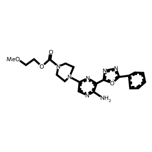 COCCOC(=O)N1CCN(c2cnc(N)c(-c3nnc(-c4ccccc4)o3)n2)CC1